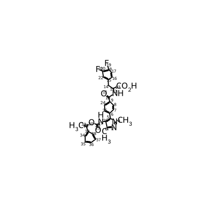 Cc1nn(C)c(-c2ccc(C(=O)NC(Cc3ccc(F)c(F)c3)C(=O)O)cc2)c1NC(=O)O[C@H](C)c1ccccc1